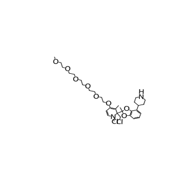 COCCOCCOCCOCCOCCOC1=C(C)C(CCl)(C2(C)Oc3cccc(C4CCNCC4)c3O2)N(Cl)C=C1